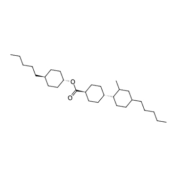 CCCCCC1CCC([C@H]2CC[C@H](C(=O)O[C@H]3CC[C@H](CCCCC)CC3)CC2)C(C)C1